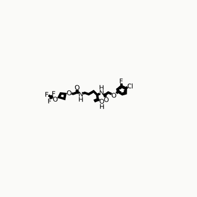 C=C(O)C(CCCNC(=O)CO[C@H]1C[C@@H](OC(F)(F)F)C1)NC(=O)COc1ccc(Cl)c(F)c1